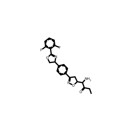 CCC(=O)C(N)C1CC(c2ccc(C3COC(c4c(F)cccc4F)=N3)cc2)=NO1